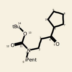 CCCC(C)N(CCC(=O)C1CCCC1)C(=O)OC(C)(C)C